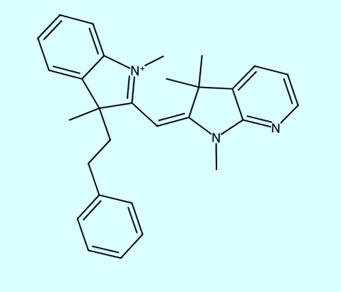 CN1C(=CC2=[N+](C)c3ccccc3C2(C)CCc2ccccc2)C(C)(C)c2cccnc21